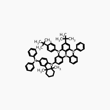 CC(C)(C)c1ccc(N2c3cc(N4c5ccc(N(c6ccccc6)c6ccccc6)cc5C5(C)CCCCC45C)ccc3B3c4ccccc4N(c4ccccc4)c4cc(C(C)(C)C)cc2c43)cc1